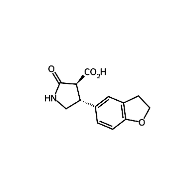 O=C(O)[C@@H]1C(=O)NC[C@H]1c1ccc2c(c1)CCO2